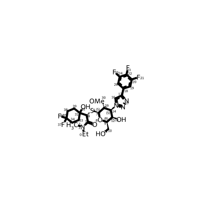 CCN(C)C(=O)[C@@H](S[C@@H]1O[C@H](CO)[C@H](O)[C@H](n2cc(-c3cc(F)c(F)c(F)c3)nn2)[C@H]1OC)C1(O)CCC(F)(F)CC1